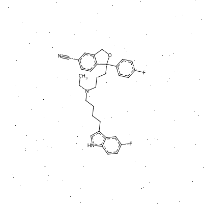 CCN(CCCCc1c[nH]c2ccc(F)cc12)CCCC1(c2ccc(F)cc2)OCc2cc(C#N)ccc21